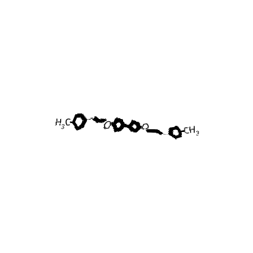 C[C@H]1CC[C@H](CCCOc2ccc(-c3ccc(OCCC[C@H]4CC[C@H](C)CC4)cc3)cc2)CC1